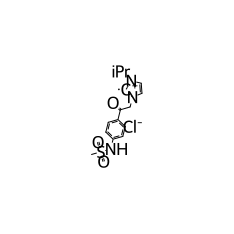 CC(C)N1[C+]N(CC(=O)c2ccc(NS(C)(=O)=O)cc2)C=C1.[Cl-]